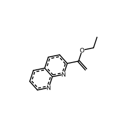 C=C(OCC)c1ccc2cccnc2n1